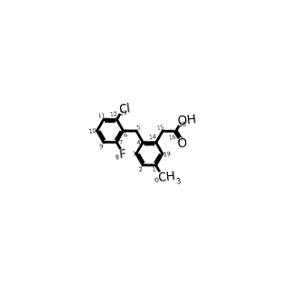 Cc1ccc(Cc2c(F)cccc2Cl)c(CC(=O)O)c1